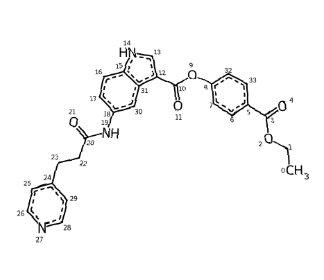 CCOC(=O)c1ccc(OC(=O)c2c[nH]c3ccc(NC(=O)CCc4ccncc4)cc23)cc1